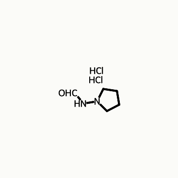 Cl.Cl.O=CNN1CCCC1